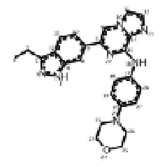 CCc1n[nH]c2cc(-c3cn4ccnc4c(Nc4ccc(N5CCOCC5)cc4)n3)ccc12